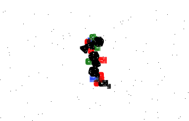 CS(=O)(=O)NC(=O)c1cccc([C@H]2C[C@](O)(C3CC=C(OCc4c(-c5c(Cl)cccc5Cl)noc4C4CC4)C=C3Cl)C2)c1